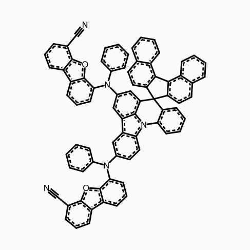 N#Cc1cccc2c1oc1c(N(c3ccccc3)c3ccc4c(c3)c3cc(N(c5ccccc5)c5cccc6c5oc5c(C#N)cccc56)cc5c3n4-c3ccccc3C53c4ccc5ccccc5c4-c4c3ccc3ccccc43)cccc12